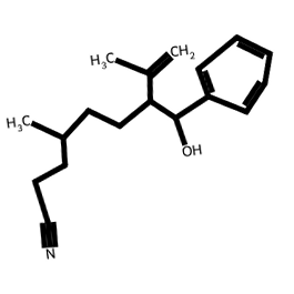 C=C(C)C(CCC(C)CCC#N)C(O)c1ccccc1